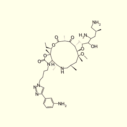 CC[C@H]1OC(=O)[C@H](C)C(=O)[C@H](C)[C@@H](O[C@H](C)C(O)C(N)C[C@H](C)CN)[C@](C)(OC)C[C@@H](C)CN[C@H](C)[C@H]2N(CCCCn3cc(-c4cccc(N)c4)nn3)C(=O)O[C@]12C